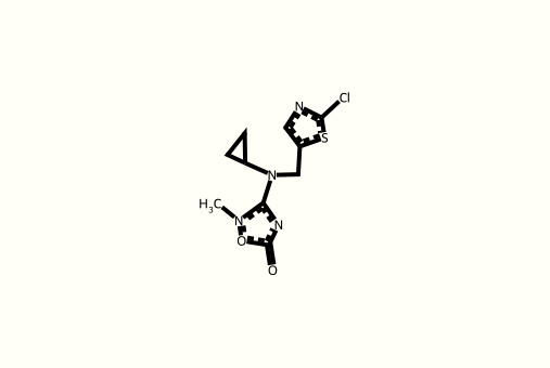 Cn1oc(=O)nc1N(Cc1cnc(Cl)s1)C1CC1